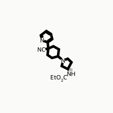 CCOC(=O)N[C@H]1CCN(C2CCC(C#N)(c3ccccn3)CC2)C1